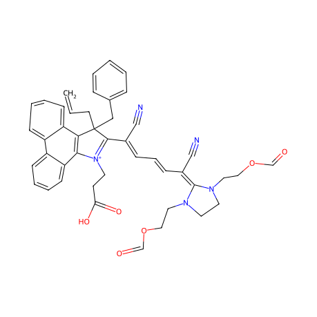 C=CCC1(Cc2ccccc2)C(/C(C#N)=C/C=C/C(C#N)=C2N(CCOC=O)CCN2CCOC=O)=[N+](CCC(=O)O)c2c1c1ccccc1c1ccccc21